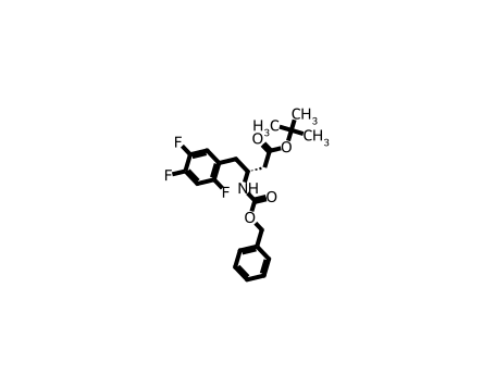 CC(C)(C)OC(=O)C[C@@H](Cc1cc(F)c(F)cc1F)NC(=O)OCc1ccccc1